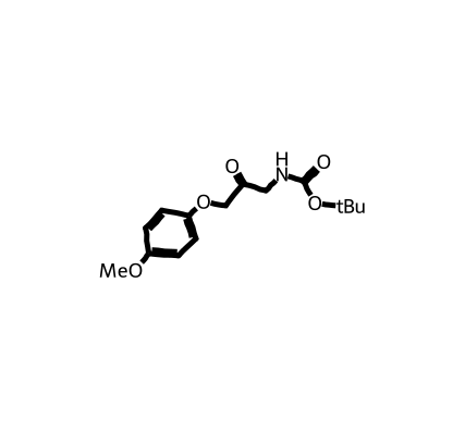 COc1ccc(OCC(=O)CNC(=O)OC(C)(C)C)cc1